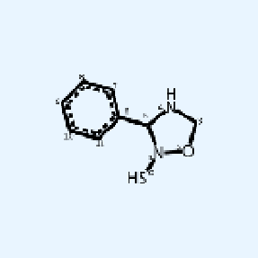 SN1OCNC1c1ccccc1